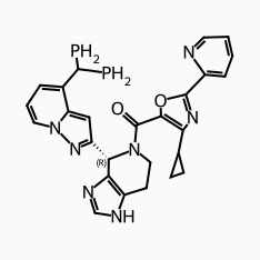 O=C(c1oc(-c2ccccn2)nc1C1CC1)N1CCc2[nH]cnc2[C@@H]1c1cc2c(C(P)P)cccn2n1